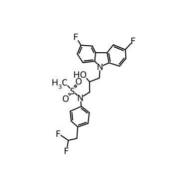 CS(=O)(=O)N(CC(O)Cn1c2ccc(F)cc2c2cc(F)ccc21)c1ccc(CC(F)F)cc1